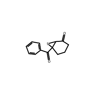 O=C1CCCC2(C(=O)c3ccccc3)SC12